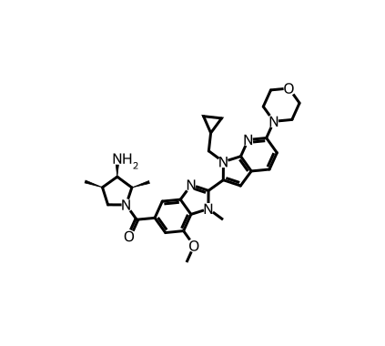 COc1cc(C(=O)N2C[C@@H](C)[C@@H](N)[C@H]2C)cc2nc(-c3cc4ccc(N5CCOCC5)nc4n3CC3CC3)n(C)c12